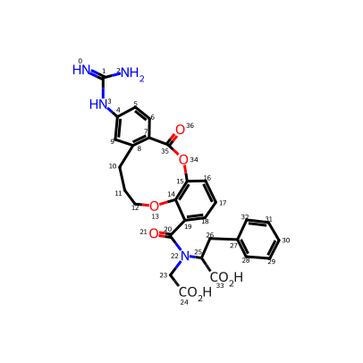 N=C(N)Nc1ccc2c(c1)CCCOc1c(cccc1C(=O)N(CC(=O)O)C(Cc1ccccc1)C(=O)O)OC2=O